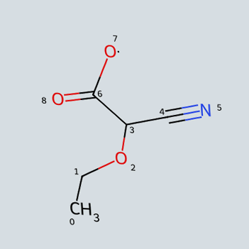 CCOC(C#N)C([O])=O